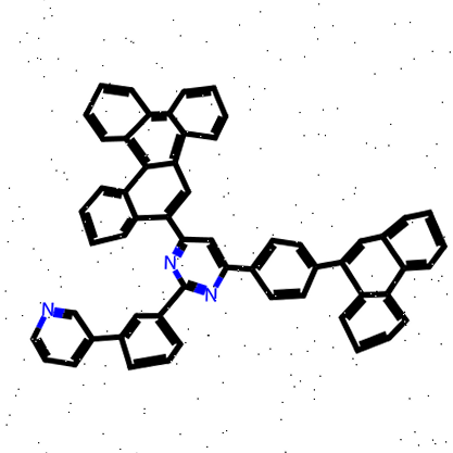 c1cncc(-c2cccc(-c3nc(-c4ccc(-c5cc6ccccc6c6ccccc56)cc4)cc(-c4cc5c6ccccc6c6ccccc6c5c5ccccc45)n3)c2)c1